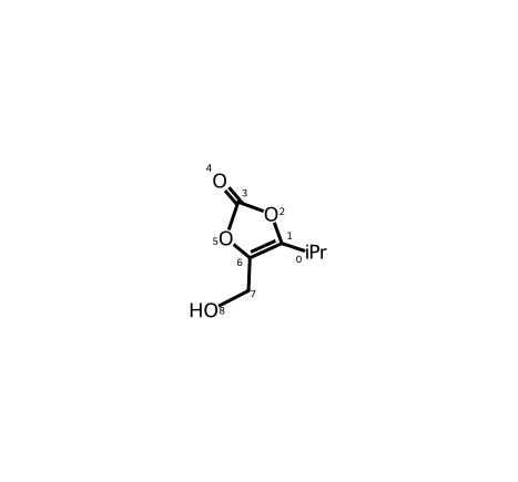 CC(C)c1oc(=O)oc1CO